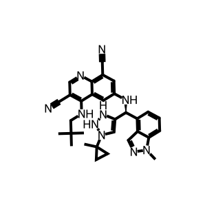 Cn1ncc2c([C@H](Nc3cc(C#N)c4ncc(C#N)c(NCC(C)(C)C)c4c3)C3=CN(C4(C)CC4)NN3)cccc21